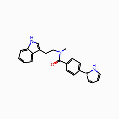 CN(CCc1c[nH]c2ccccc12)C(=O)c1ccc(B2C=CC=CN2)cc1